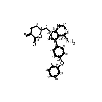 C=C1CCC(Cn2nc(-c3ccc(Oc4ccccc4)cc3)c3c(N)ncnc32)OC1=O